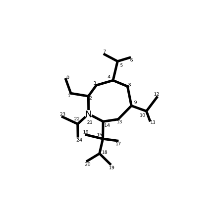 CCC1CC(C(C)C)CC(C(C)C)CC(C(C)(C)C(C)C)N1C(C)C